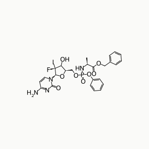 C[C@H](N[P@@](=O)(OC[C@H]1O[C@@H](n2ccc(N)nc2=O)[C@](F)(I)C1O)Oc1ccccc1)C(=O)OCc1ccccc1